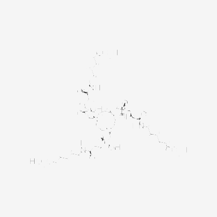 O=C(O)CCCCCNC(=O)CCP(=O)(O)CN1CCN(CP(=O)(O)CCC(=O)NCCCCCC(=O)O)CCN(CP(=O)(O)CCC(=O)NCCCCCC(=O)O)CC1